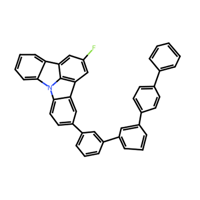 Fc1cc2c3ccccc3n3c4ccc(-c5cccc(-c6cccc(-c7ccc(-c8ccccc8)cc7)c6)c5)cc4c(c1)c23